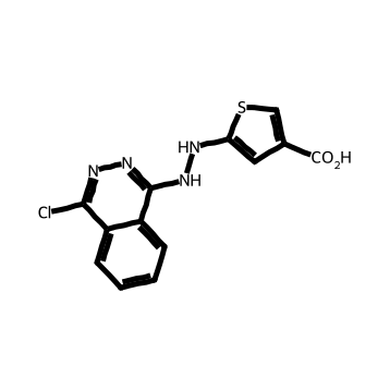 O=C(O)c1csc(NNc2nnc(Cl)c3ccccc23)c1